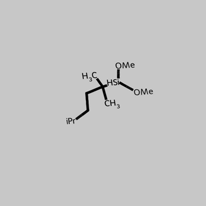 CO[SiH](OC)C(C)(C)CCC(C)C